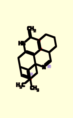 C=C1C=CC2=C(CC3C=C(C)CC2(/N=C\C2CCCCC2)/C3=C/C)N1